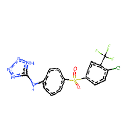 O=S(=O)(c1ccc(Nc2nnn[nH]2)cc1)c1ccc(Cl)c(C(F)(F)F)c1